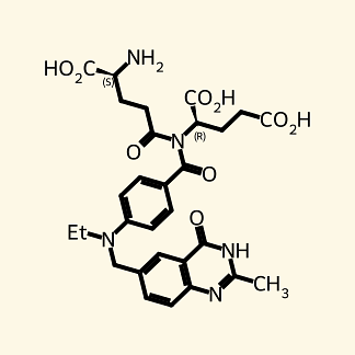 CCN(Cc1ccc2nc(C)[nH]c(=O)c2c1)c1ccc(C(=O)N(C(=O)CC[C@H](N)C(=O)O)[C@H](CCC(=O)O)C(=O)O)cc1